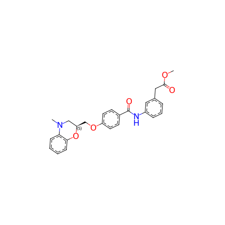 COC(=O)Cc1cccc(NC(=O)c2ccc(OC[C@@H]3CN(C)c4ccccc4O3)cc2)c1